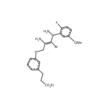 CCOC(=O)CCc1cccc(OC/C(N)=C(\Br)N(N)c2cc(OC)ccc2F)c1